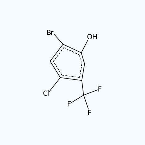 Oc1cc(C(F)(F)F)c(Cl)cc1Br